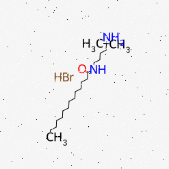 Br.CCCCCCCCCCCCCC(=O)NCCCCC(C)(C)N